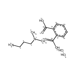 CN(C)CCCN.Cl.Cl.O=C(O)c1ccccc1C(=O)O